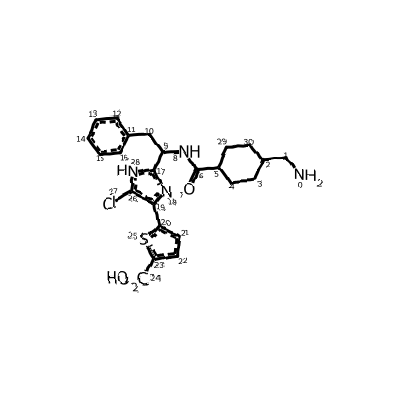 NCC1CCC(C(=O)NC(Cc2ccccc2)c2nc(-c3ccc(C(=O)O)s3)c(Cl)[nH]2)CC1